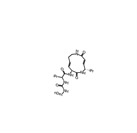 CCCCCCCCCCNC(=O)NC(C(=O)N[C@H]1/C=C/CCNC(=O)/C=C/[C@H](C(C)C)NC1=O)C(C)C